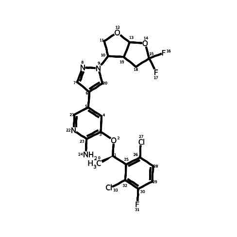 C[C@@H](Oc1cc(-c2cnn(C3COC4OC(F)(F)CC43)c2)cnc1N)c1c(Cl)ccc(F)c1Cl